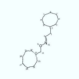 C(/CC1CCCCCCC1)=N\OCC1CCCCCCC1